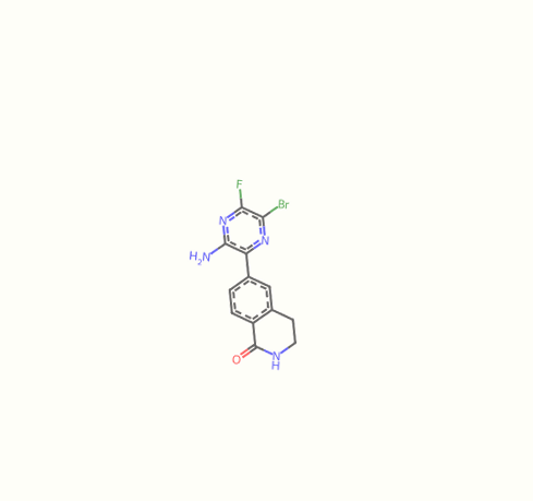 Nc1nc(F)c(Br)nc1-c1ccc2c(c1)CCNC2=O